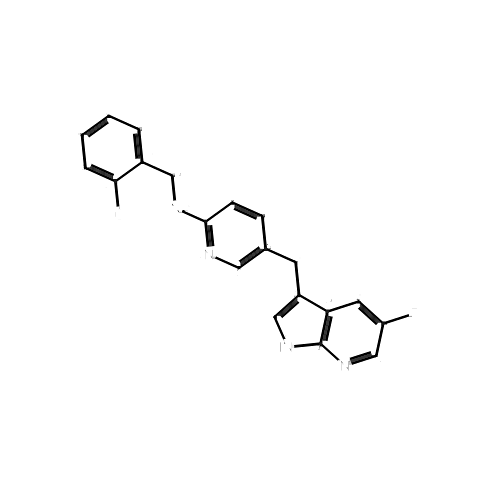 Fc1cnc2[nH]cc(Cc3ccc(NCc4ccccc4Cl)nc3)c2c1